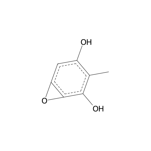 Cc1c(O)cc2c(c1O)O2